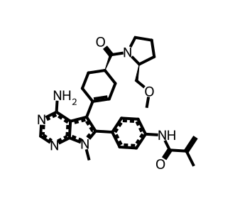 C=C(C)C(=O)Nc1ccc(-c2c(C3=CC[C@H](C(=O)N4CCC[C@H]4COC)CC3)c3c(N)ncnc3n2C)cc1